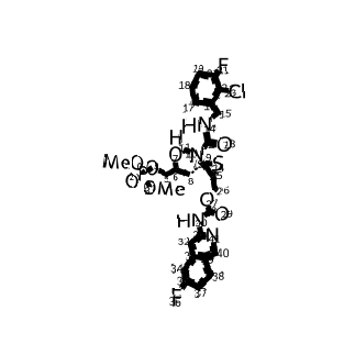 COP(=O)(OC)OCC(O)C[C@]1(N(C)C(=O)NCc2cccc(F)c2Cl)SC1COC(=O)Nc1cc2cc(F)ccc2cn1